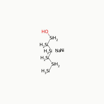 O[SiH2][SiH2][SiH2][SiH2][SiH2][SiH3].[Na].[Ni]